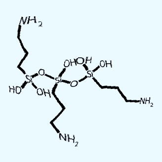 NCCC[Si](O)(O)O[Si](O)(CCCN)O[Si](O)(O)CCCN